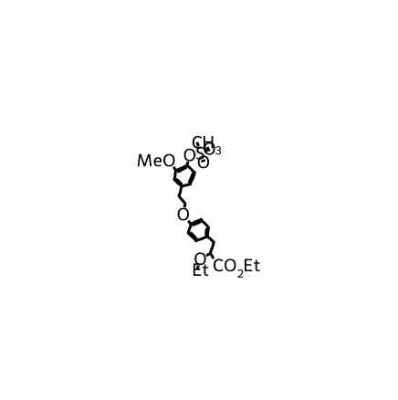 CCOC(=O)C(Cc1ccc(OCCc2ccc(OS(C)(=O)=O)c(OC)c2)cc1)OCC